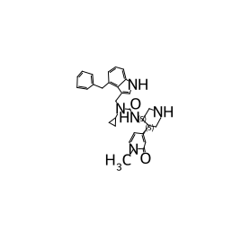 Cn1ccc([C@@H]2CCNC[C@H]2NC(=O)N(Cc2c[nH]c3cccc(Cc4ccccc4)c23)C2CC2)cc1=O